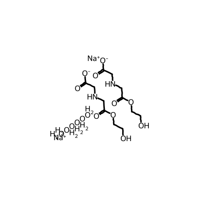 O.O.O.O.O.O.O=C([O-])CNCC(=O)OCCO.O=C([O-])CNCC(=O)OCCO.[Na+].[Na+]